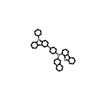 c1ccc(-n2c3ccccc3c3cc(-c4ccc(N(c5ccc6ccccc6c5)c5cccc6c5sc5ccccc56)cc4)ccc32)cc1